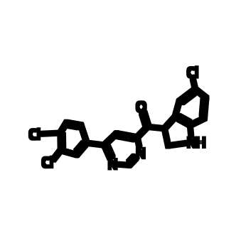 O=C(c1cc(-c2ccc(Cl)c(Cl)c2)ncn1)C1CNc2ccc(Cl)cc21